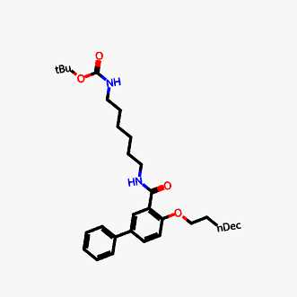 CCCCCCCCCCCCOc1ccc(-c2ccccc2)cc1C(=O)NCCCCCCNC(=O)OC(C)(C)C